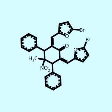 CC1([N+](=O)[O-])C(c2ccccc2)C(=Cc2ccc(Br)o2)C(=O)C(=Cc2ccc(Br)o2)C1c1ccccc1